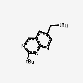 CC(C)(C)Cc1cnc2nc(C(C)(C)C)ncc2c1